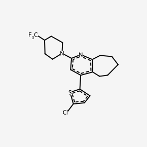 FC(F)(F)C1CCN(c2cc(-c3ccc(Cl)s3)c3c(n2)CCCCC3)CC1